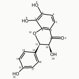 O=C1c2ccc(O)c(O)c2O[C@H](c2ccc(O)cc2)[C@@H]1O